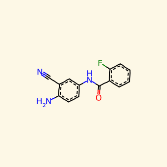 N#Cc1cc(NC(=O)c2ccccc2F)ccc1N